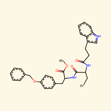 CC(C)CC(NC(=O)CCc1c[nH]c2ccccc12)C(=O)NC(Cc1ccc(OCc2ccccc2)cc1)C(=O)OC(C)(C)C